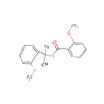 N#CC(C#N)(OC(=O)c1ccccc1OC(F)(F)F)c1ccccc1OC(F)(F)F